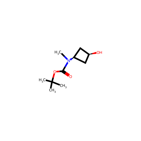 CN(C(=O)OC(C)(C)C)[C@H]1C[C@@H](O)C1